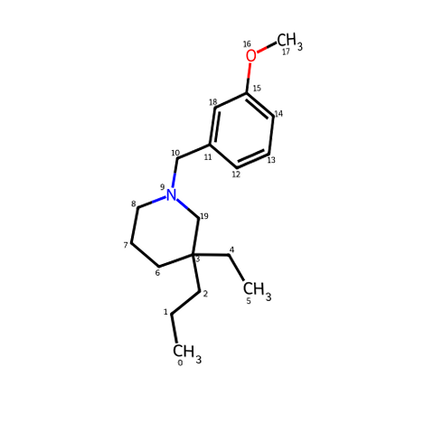 CCCC1(CC)CCCN(Cc2cccc(OC)c2)C1